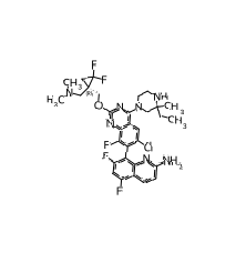 CCC1(C)CN(c2nc(OC[C@]3(CN(C)C)CC3(F)F)nc3c(F)c(-c4c(F)cc(F)c5ccc(N)nc45)c(Cl)cc23)CCN1